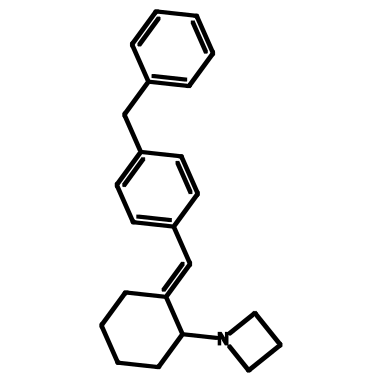 C(=C1CCCCC1N1CCC1)c1ccc(Cc2ccccc2)cc1